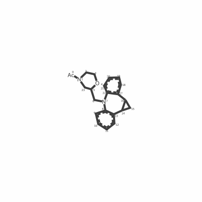 CC(=O)N1CCOC(CN2c3ccccc3C3CC3c3ccccc32)C1